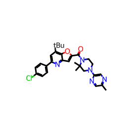 Cc1cnc(N2CCN(C(=O)c3cc4nc(-c5ccc(Cl)cc5)cc(C(C)(C)C)c4o3)C(C)(C)C2)cn1